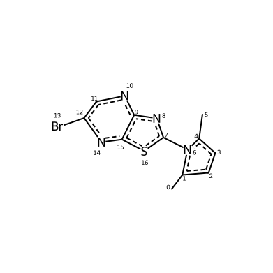 Cc1ccc(C)n1-c1nc2ncc(Br)nc2s1